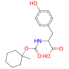 CC1(OC(=O)NC(Cc2ccc(O)cc2)C(=O)O)CCCCC1